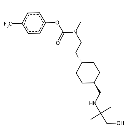 CN(CC[C@H]1CC[C@H](CNC(C)(C)CO)CC1)C(=O)Oc1ccc(C(F)(F)F)cc1